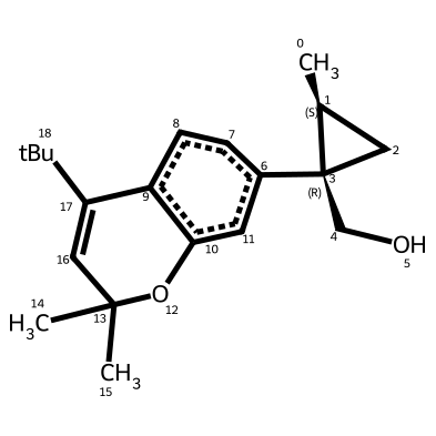 C[C@H]1C[C@]1(CO)c1ccc2c(c1)OC(C)(C)C=C2C(C)(C)C